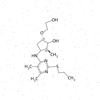 CCCSc1nc(C)c(C)c(NC2C[C@H](OCCO)C(O)[C@H]2C)n1